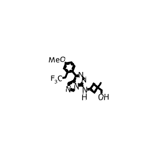 COc1ccc(-c2nnc(NC3CC(C)(CO)C3)n3cncc23)c(CC(F)(F)F)c1